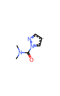 CN(C)C(=O)n1c[c]cn1